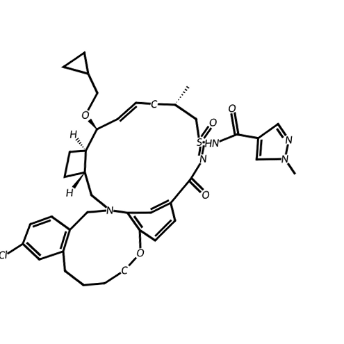 C[C@H]1C/C=C/[C@H](OCC2CC2)[C@@H]2CC[C@H]2CN2Cc3ccc(Cl)cc3CCCCOc3ccc(cc32)C(=O)N=S(=O)(NC(=O)c2cnn(C)c2)C1